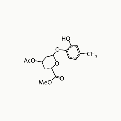 COC(=O)C1CC(OC(C)=O)CC(Oc2ccc(C)cc2O)O1